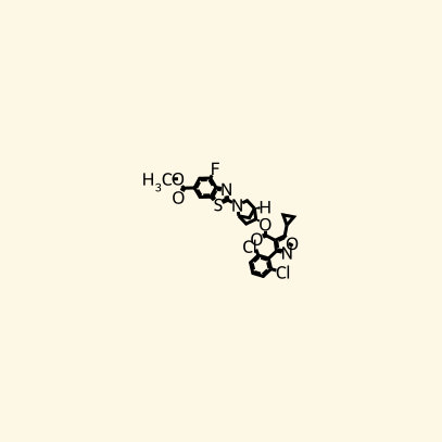 COC(=O)c1cc(F)c2nc(N3C[C@H]4CC3C[C@@H]4OC(=O)c3c(-c4c(Cl)cccc4Cl)noc3C3CC3)sc2c1